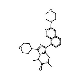 CC1C(=O)N(C)Cc2c(-c3cccc4cc(N5CCOCC5)ncc34)nc(C3CCOCC3)n21